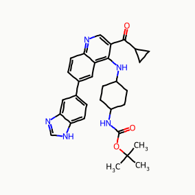 CC(C)(C)OC(=O)NC1CCC(Nc2c(C(=O)C3CC3)cnc3ccc(-c4ccc5[nH]cnc5c4)cc23)CC1